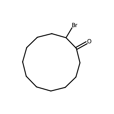 O=C1CCCCCCCCCCC1Br